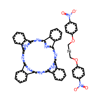 O=[N+]([O-])c1ccc(O[CH2][Ni][CH2]Oc2ccc([N+](=O)[O-])cc2)cc1.c1ccc2c(c1)-c1nc-2nc2[nH]c(nc3nc(nc4[nH]c(n1)c1ccccc41)-c1ccccc1-3)c1ccccc21